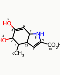 CC1C(O)C(O)=CC2NC(C(=O)O)=CC21